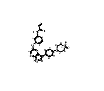 C=CC(=O)Nc1cccc(Oc2cnc3[nH]cc(-c4ccc(N5CCS(=O)(=O)CC5)cc4)c3n2)c1